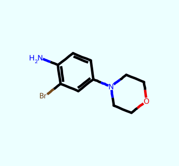 Nc1ccc(N2CCOCC2)cc1Br